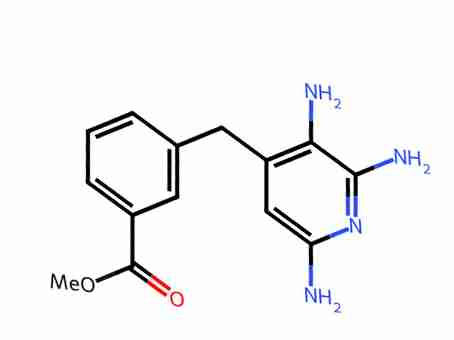 COC(=O)c1cccc(Cc2cc(N)nc(N)c2N)c1